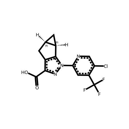 O=C(O)c1nn(-c2cc(C(F)(F)F)c(Cl)cn2)c2c1C[C@H]1C[C@@H]21